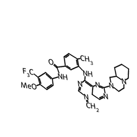 C=N/C=N\C(Nc1cc(C(=O)Nc2ccc(OC)c(C(F)(F)F)c2)ccc1C)=C1/CC=NC(N2CCN3CCCCC3C2)=N1